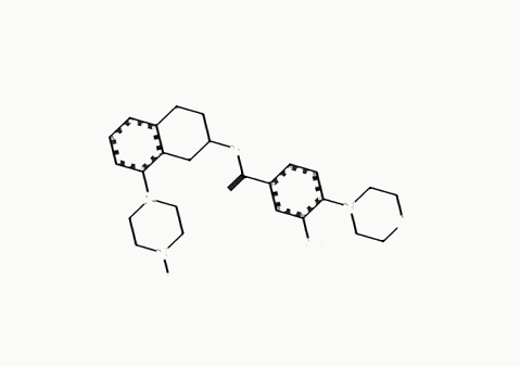 Cc1cc(C(=O)NC2CCc3cccc(N4CCN(C)CC4)c3C2)ccc1N1CCOCC1